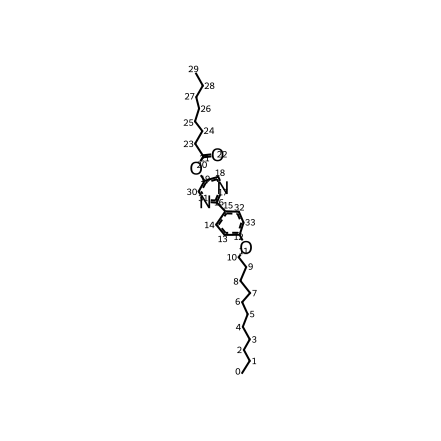 CCCCCCCCCCCOc1ccc(-c2ncc(OC(=O)CCCCCCC)cn2)cc1